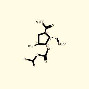 CCCC(F)OC(=O)N[C@H]1[C@@H](CNC(C)=O)[C@H](C(=O)OC)C[C@@H]1C(=O)O